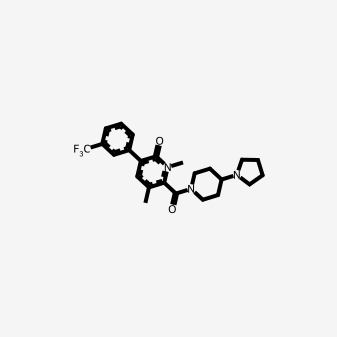 Cc1cc(-c2cccc(C(F)(F)F)c2)c(=O)n(C)c1C(=O)N1CCC(N2CCCC2)CC1